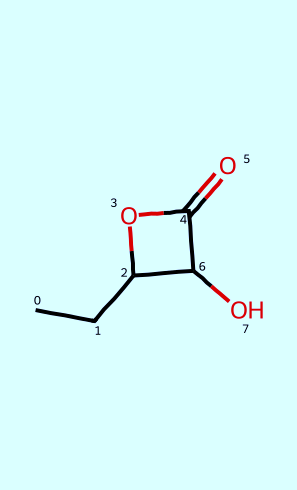 CCC1OC(=O)C1O